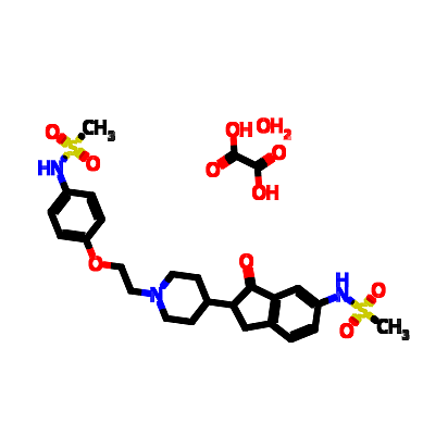 CS(=O)(=O)Nc1ccc(OCCN2CCC(C3Cc4ccc(NS(C)(=O)=O)cc4C3=O)CC2)cc1.O.O=C(O)C(=O)O